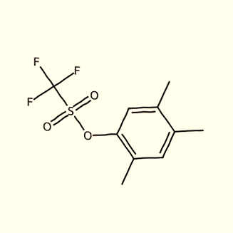 Cc1cc(C)c(OS(=O)(=O)C(F)(F)F)cc1C